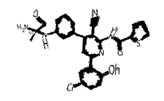 C[C@@](N)(C=O)Nc1cccc(-c2cc(-c3cc(Cl)ccc3O)nc(NC(=O)c3cccs3)c2C#N)c1